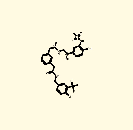 C[C@H](Cc1cccc(CC(=O)NCc2ccc(Cl)c(C(F)(F)F)c2)c1)NC[C@H](O)c1ccc(O)c(NS(C)(=O)=O)c1